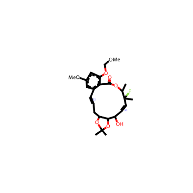 COCOc1cc(OC)cc2c1C(=O)OC(C)C(C)(F)/C=C\C(O)C1OC(C)(C)OC1C/C=C/2